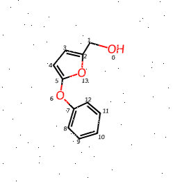 OCc1ccc(Oc2ccccc2)o1